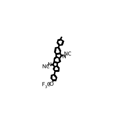 [C-]#[N+]/N=c1\c2cc(-c3ccc(C)cc3)ccc2c2cc3/c(=N/C#N)c4cc(-c5ccc(OC(F)(F)F)cc5)ccc4c3cc12